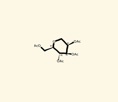 CC(=O)OC[C@H]1OC[C@@H](OC(C)=O)[C@@H](OC(C)=O)[C@@H]1OC(C)=O